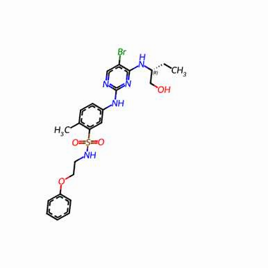 CC[C@H](CO)Nc1nc(Nc2ccc(C)c(S(=O)(=O)NCCOc3ccccc3)c2)ncc1Br